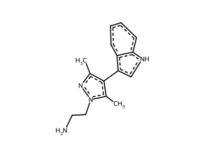 Cc1nn(CCN)c(C)c1-c1c[nH]c2ccccc12